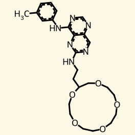 Cc1cccc(Nc2ncnc3cnc(NCCC4COCCOCCOCCOCCO4)nc23)c1